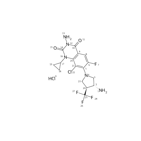 Cl.N[C@H]1CN(c2c(F)cc3c(=O)n(N)c(=O)n(C4CC4)c3c2Cl)C[C@@H]1C(F)(F)F